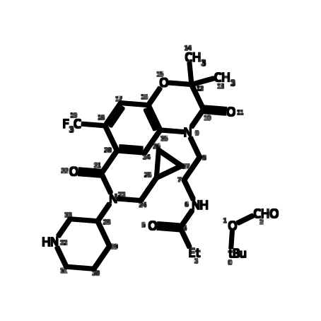 CC(C)(C)OC=O.CCC(=O)NCCN1C(=O)C(C)(C)Oc2cc(C(F)(F)F)c(C(=O)N(CC3CC3)C3CCCNC3)cc21